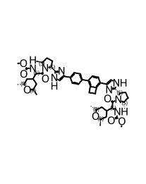 COC(=O)N[C@H](C(=O)N1[C@@H](C)CC[C@H]1c1nc(-c2ccc(-c3ccc(-c4c[nH]c([C@@H]5CC[C@H](C)N5C(=O)[C@@H](NC(=O)OC)C5C[C@@H](C)O[C@H](C)C5)n4)c4c3CC4)cc2)c[nH]1)C1C[C@@H](C)O[C@H](C)C1